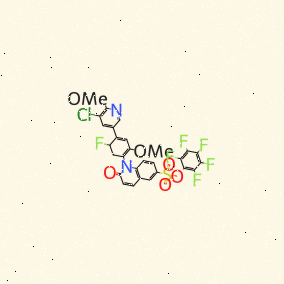 COC1=C(n2c(=O)ccc3cc(S(=O)(=O)Oc4c(F)c(F)c(F)c(F)c4F)ccc32)C[C@@H](F)C(c2cnc(OC)c(Cl)c2)=C1